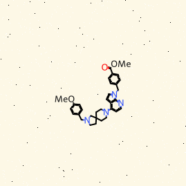 COC(=O)c1ccc(Cn2ccc3c(N4CCC5(CCN(Cc6ccc(OC)cc6)C5)CC4)ccnc32)cc1